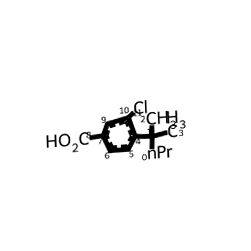 CCCC(C)(C)c1ccc(C(=O)O)cc1Cl